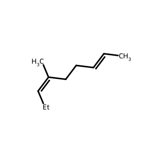 CC=CCCC(C)=CCC